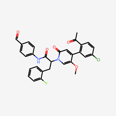 COc1cn(C(Cc2ccccc2F)C(=O)Nc2ccc(C=O)cc2)c(=O)cc1-c1cc(Cl)ccc1C(C)=O